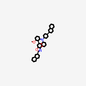 COc1cccc(N(c2ccccc2)c2ccc(-c3ccc4ccccc4c3)cc2)c1-c1ccc2nc(-c3ccc4ccccc4c3)oc2c1